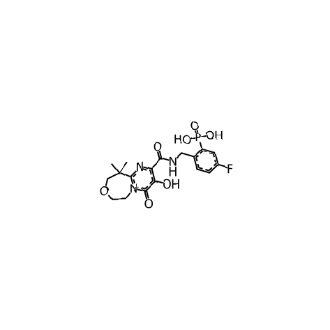 CC1(C)COCCn2c1nc(C(=O)NCc1ccc(F)cc1P(=O)(O)O)c(O)c2=O